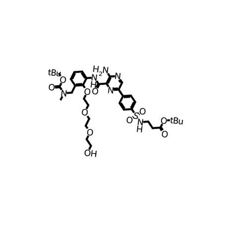 CN(Cc1cccc(NC(=O)c2nc(-c3ccc(S(=O)(=O)NCCC(=O)OC(C)(C)C)cc3)cnc2N)c1OCCOCCOCCO)C(=O)OC(C)(C)C